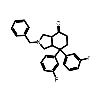 O=C1CCC(c2cccc(F)c2)(c2cccc(F)c2)C2CN(Cc3ccccc3)CC12